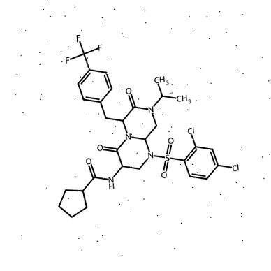 CC(C)N1CC2N(C(=O)C(NC(=O)C3CCCC3)CN2S(=O)(=O)c2ccc(Cl)cc2Cl)C(Cc2ccc(C(F)(F)F)cc2)C1=O